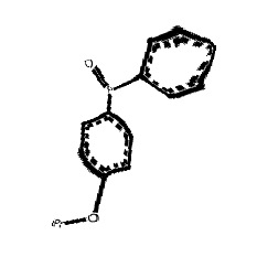 CC(C)Oc1ccc([P](=O)c2ccccc2)cc1